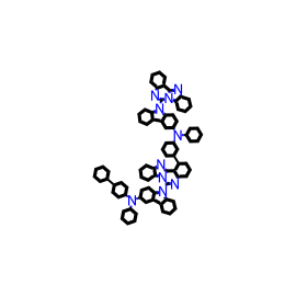 c1ccc(-c2ccc(N(c3ccccc3)c3ccc4c(c3)c3ccccc3n4-c3nc4cccc(-c5cccc(N(c6ccccc6)c6ccc7c(c6)c6ccccc6n7-c6nc7ccccc7c7nc8ccccc8n67)c5)c4c4nc5ccccc5n34)cc2)cc1